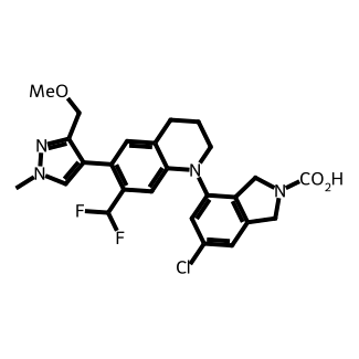 COCc1nn(C)cc1-c1cc2c(cc1C(F)F)N(c1cc(Cl)cc3c1CN(C(=O)O)C3)CCC2